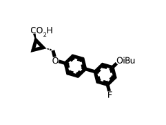 CC(C)COc1cc(F)cc(-c2ccc(OC[C@@H]3C[C@H]3C(=O)O)cc2)c1